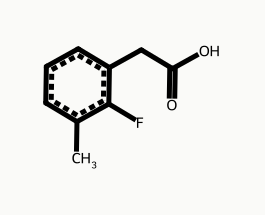 Cc1cccc(CC(=O)O)c1F